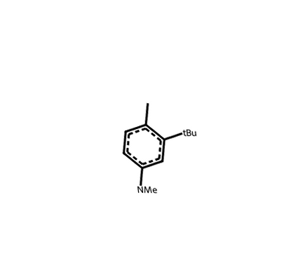 CNc1ccc(C)c(C(C)(C)C)c1